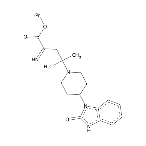 CC(C)OC(=O)C(=N)CC(C)(C)N1CCC(n2c(=O)[nH]c3ccccc32)CC1